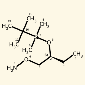 CC[C@@H](CON)O[Si](C)(C)C(C)(C)C